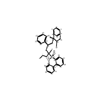 CCCC(C)(CC(CC1(C)c2cccc(c2)CC1C)c1ccccc1)P1(=O)Oc2ccccc2-c2ccccc21